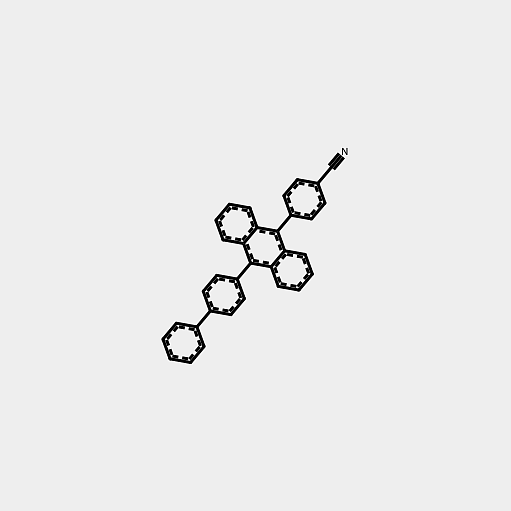 N#Cc1ccc(-c2c3ccccc3c(-c3ccc(-c4ccccc4)cc3)c3ccccc23)cc1